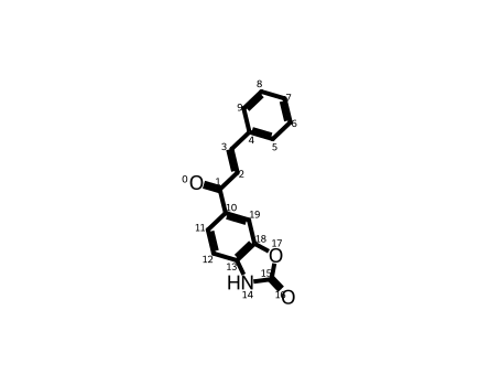 O=C(C=Cc1ccccc1)c1ccc2[nH]c(=O)oc2c1